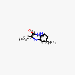 O=C(O)c1nc2cc([N+](=O)[O-])ccc2[nH]c1=O